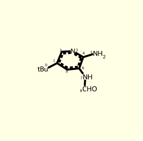 CC(C)(C)c1cnc(N)c(NC=O)c1